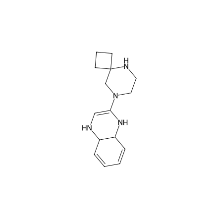 C1=CC2NC=C(N3CCNC4(CCC4)C3)NC2C=C1